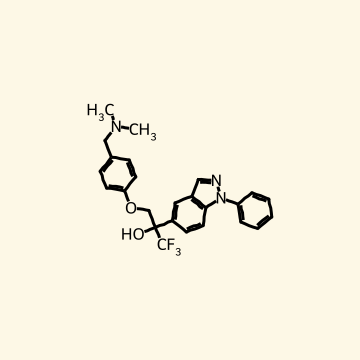 CN(C)Cc1ccc(OCC(O)(c2ccc3c(cnn3-c3ccccc3)c2)C(F)(F)F)cc1